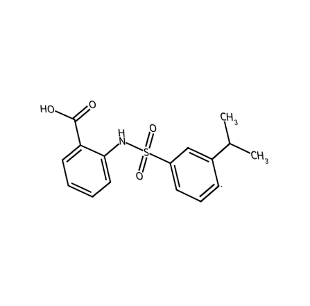 CC(C)c1[c]ccc(S(=O)(=O)Nc2ccccc2C(=O)O)c1